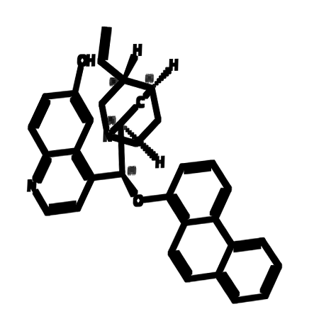 C=C[C@H]1CN2CC[C@H]1C[C@H]2[C@@H](Oc1cccc2c1ccc1ccccc12)c1ccnc2ccc(O)cc12